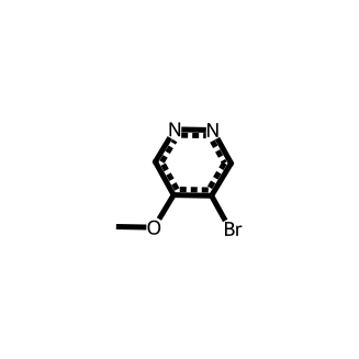 COc1cnncc1Br